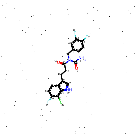 NC(=O)N(Cc1ccc(F)c(F)c1)C(=O)CCc1c[nH]c2c(Cl)c(F)ccc12